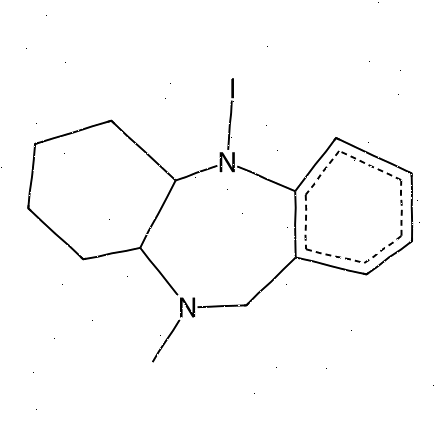 CN1Cc2ccccc2N(I)C2CCCCC21